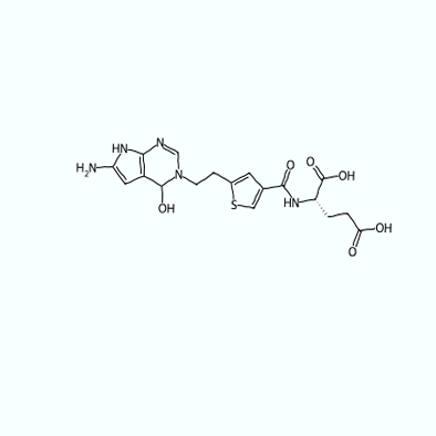 Nc1cc2c([nH]1)N=CN(CCc1cc(C(=O)N[C@@H](CCC(=O)O)C(=O)O)cs1)C2O